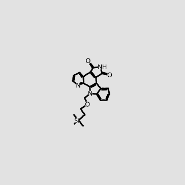 C[Si](C)(C)CCOCn1c2ccccc2c2c3c(c4cccnc4c21)C(=O)NC3=O